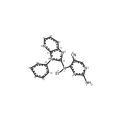 CCN(c1nc(N)ncc1C#N)c1nc2cccnc2n1-c1ccccc1